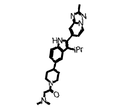 Cc1nc2cc(-c3[nH]c4ccc(C5CCN(C(=O)CN(C)C)CC5)cc4c3C(C)C)ccn2n1